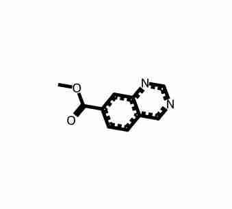 COC(=O)c1ccc2cncnc2c1